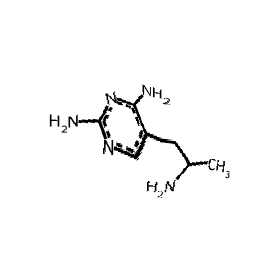 CC(N)Cc1cnc(N)nc1N